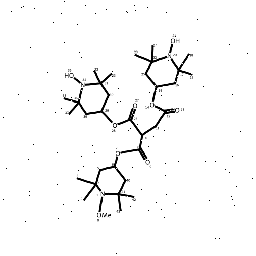 CON1C(C)(C)CC(OC(=O)C(CC(=O)OC2CC(C)(C)N(O)C(C)(C)C2)C(=O)OC2CC(C)(C)N(O)C(C)(C)C2)CC1(C)C